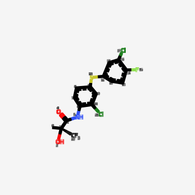 C[C@@](O)(C(=O)Nc1ccc(Sc2ccc(F)c(Cl)c2)cc1Cl)C(F)(F)F